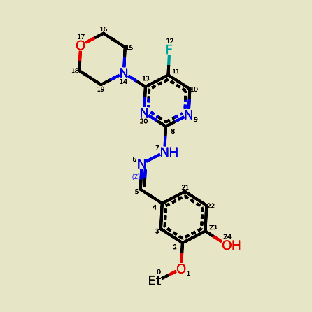 CCOc1cc(/C=N\Nc2ncc(F)c(N3CCOCC3)n2)ccc1O